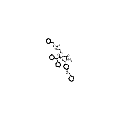 NC(=O)[C@@H](CCCNC(=O)OCc1ccccc1)N(CCc1ccc(OCc2ccccc2)cc1)C(=O)C(c1ccccc1)c1ccccc1